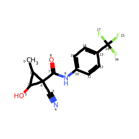 CC1C(O)C1(C#N)C(=O)Nc1ccc(C(F)(F)F)cc1